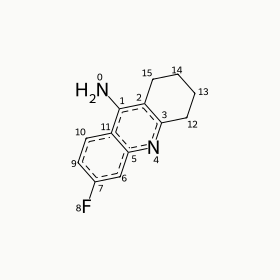 Nc1c2c(nc3cc(F)ccc13)CCCC2